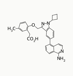 Cc1ccc(OCc2nn(C3CCC3)c3ccc(-c4cccc5c(N)nccc45)cc23)c(CC(=O)O)c1